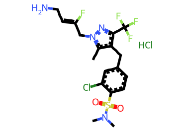 Cc1c(Cc2ccc(S(=O)(=O)N(C)C)c(Cl)c2)c(C(F)(F)F)nn1CC(F)=CCN.Cl